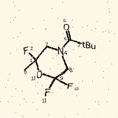 CC1(F)CN(C(=O)C(C)(C)C)CC(F)(F)O1